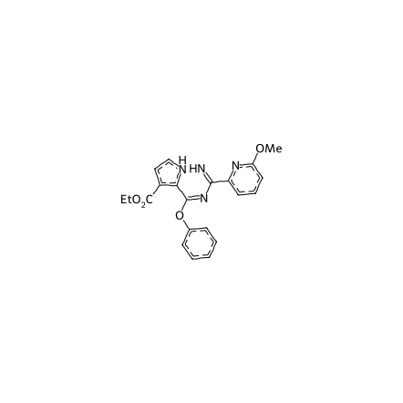 CCOC(=O)c1cc[nH]c1/C(=N\C(=N)c1cccc(OC)n1)Oc1ccccc1